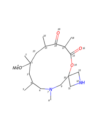 COC1(C)CC(C)CN(C)CC2(CNC2)OC(=O)C(C)C(=O)C(C)C1